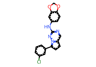 Clc1cccc(-c2ccc3cnc(Nc4ccc5c(c4)OCO5)nn23)c1